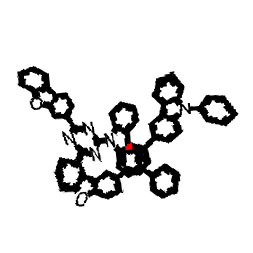 c1ccc(-c2ccc3c(c2)c2ccccc2n3-c2nc(-c3ccc4c(c3)oc3ccccc34)nc(-c3cccc4oc5ccc(-c6ccc(-c7ccc8c(c7)c7ccccc7n8-c7ccccc7)cc6)cc5c34)n2)cc1